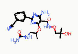 C[C@@H](CNC(N)=O)Oc1nc(-c2cccc(C#N)c2)nc(N)c1C(=O)NOCC(C)(C)O